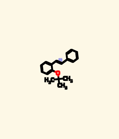 CC(C)(C)Oc1ccccc1/C=C/c1ccccc1